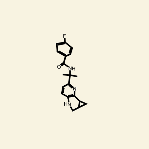 CC(C)(NC(=O)c1ccc(F)cc1)c1ccc2c(n1)C1CC1CN2